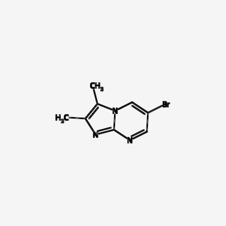 Cc1nc2ncc(Br)cn2c1C